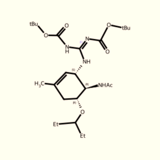 CCC(CC)O[C@@H]1CC(C)=C[C@H](N/C(=N\C(=O)OC(C)(C)C)NC(=O)OC(C)(C)C)[C@H]1NC(C)=O